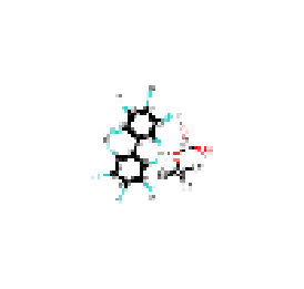 CC[Si](CC)(CC)OB(O)O.Fc1c(F)c(F)c(-c2c(F)c(F)c(F)c(F)c2F)c(F)c1F